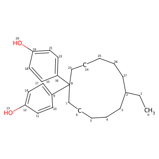 CCC1CCCCCC(c2ccc(O)cc2)(c2ccc(O)cc2)CCCCC1